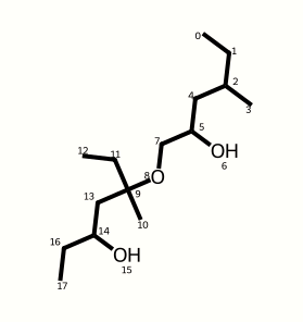 CCC(C)CC(O)COC(C)(CC)CC(O)CC